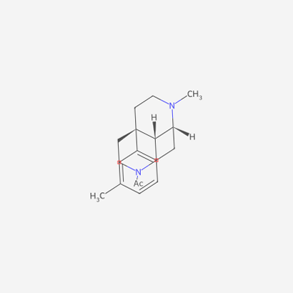 CC(=O)N1CC[C@]23CCN(C)[C@H](Cc4ccc(C)cc42)[C@@H]3C1